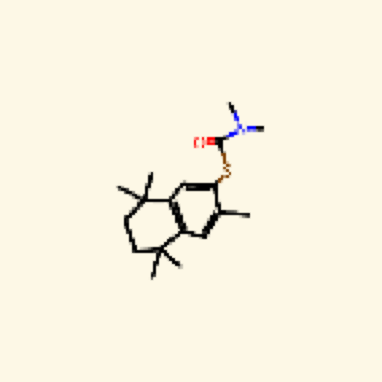 Cc1cc2c(cc1SC(=O)N(C)C)C(C)(C)CCC2(C)C